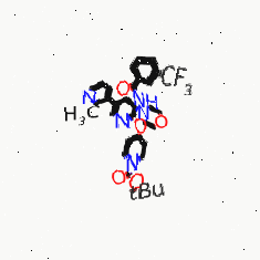 Cc1ncccc1C1=CN=C(OC2CCN(C(=O)OC(C)(C)C)CC2)C(NC(=O)c2cccc(C(F)(F)F)c2)(N2CCOCC2)C1